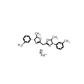 Cc1cccc([C@H]2N=C(CC3=N[C@H](c4cccc(C)c4)C(C)O3)OC2C)c1.[Br-].[Br-].[Pd+2]